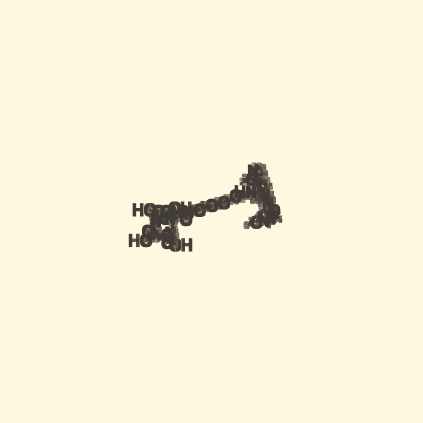 CCOc1ccc(C(=O)N2CCN(c3ccc(-c4cccnc4OCC)nc3CNCCCOCCOCCOCCOCCNC(=O)CCC(C(=O)O)N3CCN(CC(=O)O)CCN(CC(=O)O)CCN(CC(=O)O)CC3)C(CC)C2)c(C(F)(F)F)n1